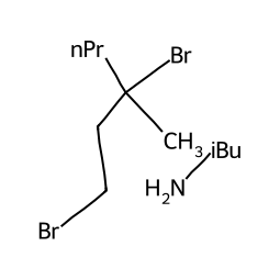 CCC(C)N.CCCC(C)(Br)CCBr